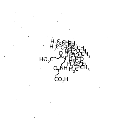 CCC(C)(O[Si](C)(C)C(C)(CC)C(C)(C)O[Si](C)(CCCN(CCNC(=O)CCC(=O)O)C(=O)CCC(=O)O)C(C)(C)O[Si](C)(C)C)[Si](C)(C)C